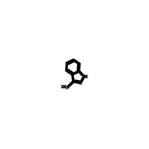 O=S(=O)(O)c1n[nH]c2ccccc12